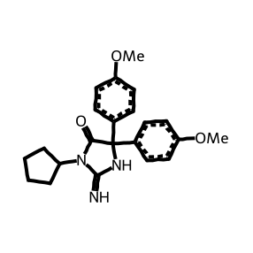 COc1ccc(C2(c3ccc(OC)cc3)NC(=N)N(C3CCCC3)C2=O)cc1